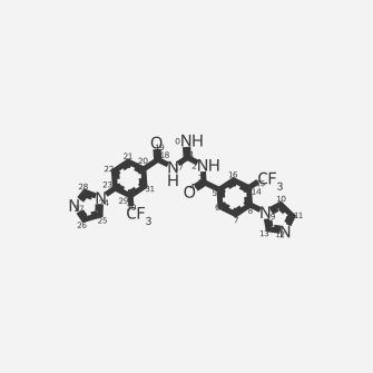 N=C(NC(=O)c1ccc(-n2ccnc2)c(C(F)(F)F)c1)NC(=O)c1ccc(-n2ccnc2)c(C(F)(F)F)c1